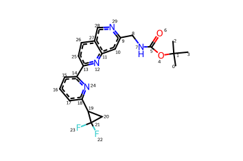 CC(C)(C)OC(=O)NCc1cc2nc(-c3cccc(C4CC4(F)F)n3)ccc2cn1